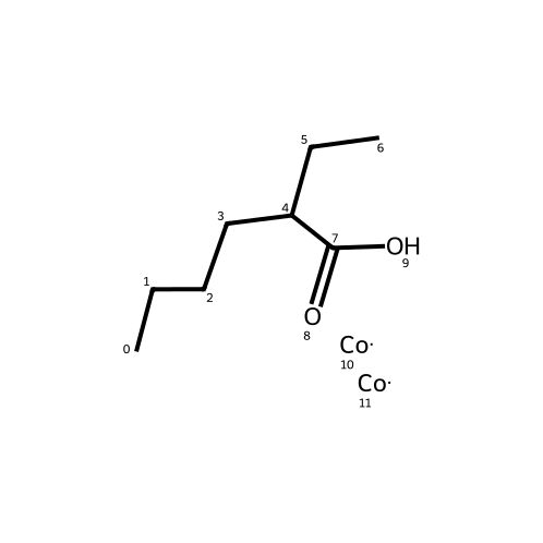 CCCCC(CC)C(=O)O.[Co].[Co]